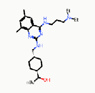 CCCCC(O)[C@H]1CC[C@H](CNc2nc(NCCCN(CC)CC)c3cc(C)cc(C)c3n2)CC1